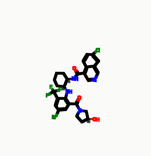 O=C(N[C@H]1CCCC[C@H]1Nc1c(C(=O)N2CC[C@@H](O)C2)cc(Br)cc1C(F)(F)F)c1cncc2cc(Cl)ccc12